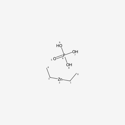 C[CH2][Zn][CH2]C.O=P(O)(O)O